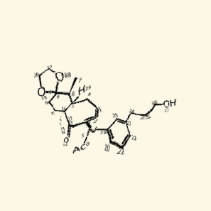 CC(=O)N(C1=CC[C@H]2[C@H](C)C3(CC[C@]2(C)C1=O)OCCO3)c1cccc(CCCO)c1